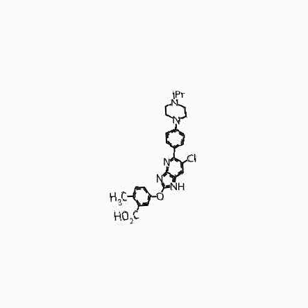 Cc1ccc(Oc2nc3nc(-c4ccc(N5CCN(C(C)C)CC5)cc4)c(Cl)cc3[nH]2)cc1C(=O)O